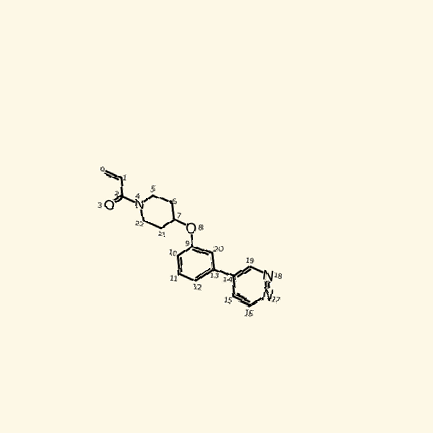 C=CC(=O)N1CCC(Oc2cccc(-c3ccnnc3)c2)CC1